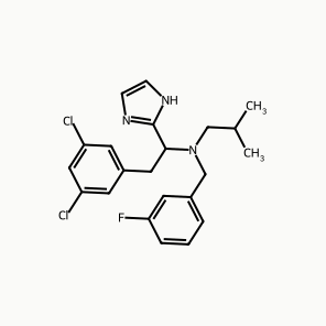 CC(C)CN(Cc1cccc(F)c1)C(Cc1cc(Cl)cc(Cl)c1)c1ncc[nH]1